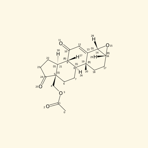 CC(=O)OC[C@]12CC[C@H]3[C@@H](C(=O)C=C4[C@@H]5O[C@@H]5CC[C@@]43C)[C@@H]1CCC2=O